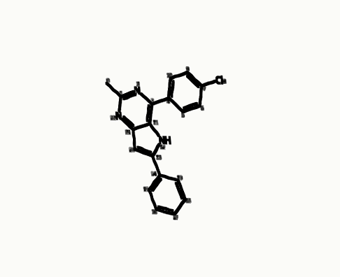 Cc1nc(-c2ccc(Cl)cc2)c2[nH]c(-c3ccccc3)cc2n1